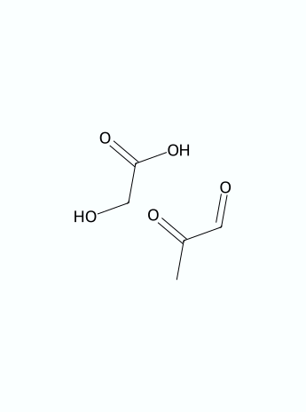 CC(=O)C=O.O=C(O)CO